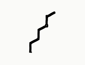 [CH2]CCCOSC